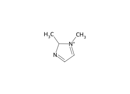 CC1N=CC=[N+]1C